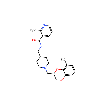 Cc1ncccc1C(=O)NCC1CCN(CC2COc3cccc(C(F)(F)F)c3O2)CC1